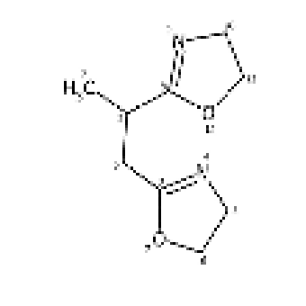 CC(CC1=NCCO1)C1=NCCO1